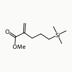 C=C(CCC[Si](C)(C)C)C(=O)OC